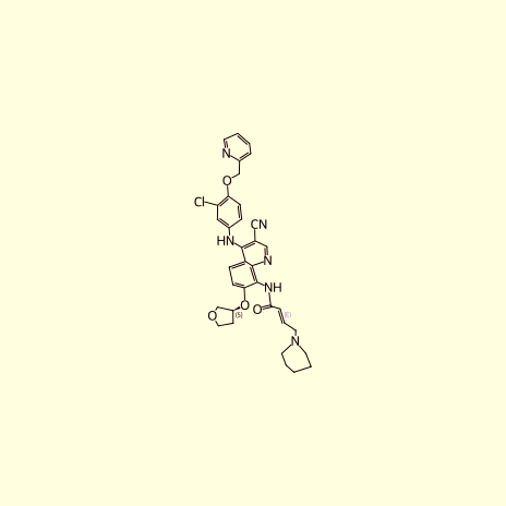 N#Cc1cnc2c(NC(=O)/C=C/CN3CCCCC3)c(O[C@H]3CCOC3)ccc2c1Nc1ccc(OCc2ccccn2)c(Cl)c1